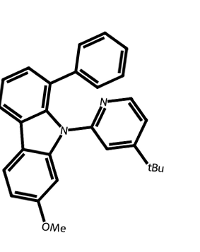 COc1ccc2c3cccc(-c4ccccc4)c3n(-c3cc(C(C)(C)C)ccn3)c2c1